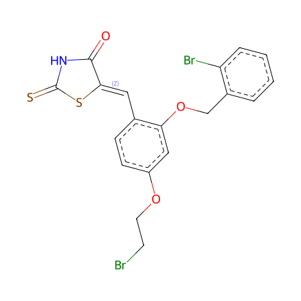 O=C1NC(=S)S/C1=C\c1ccc(OCCBr)cc1OCc1ccccc1Br